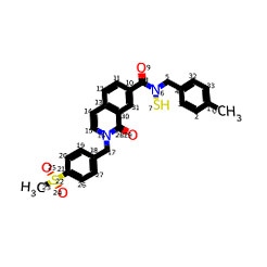 Cc1ccc(CN(S)C(=O)c2ccc3ccn(Cc4ccc(S(C)(=O)=O)cc4)c(=O)c3c2)cc1